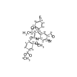 COC(=O)c1ccc(Oc2nc3cc(Br)c(C=O)cc3c(-c3ccc(F)cc3)c2C(C)C)c(OC)c1